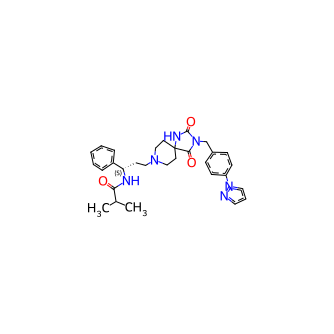 CC(C)C(=O)N[C@@H](CCN1CCC2(CC1)NC(=O)N(Cc1ccc(-n3cccn3)cc1)C2=O)c1ccccc1